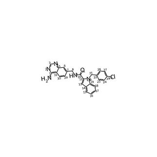 Nc1ncnc2cc(CNC(=O)c3cc4ccccc4n3Cc3ccc(Cl)cc3)ccc12